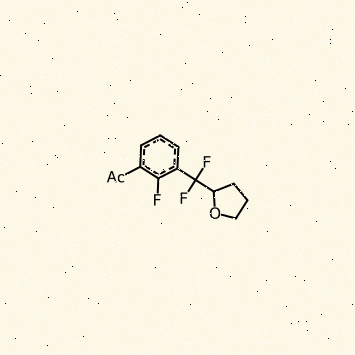 CC(=O)c1cccc(C(F)(F)C2CCCO2)c1F